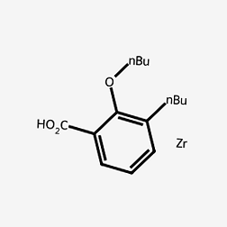 CCCCOc1c(CCCC)cccc1C(=O)O.[Zr]